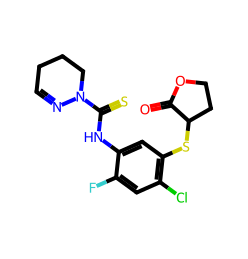 O=C1OCCC1Sc1cc(NC(=S)N2CCCC=N2)c(F)cc1Cl